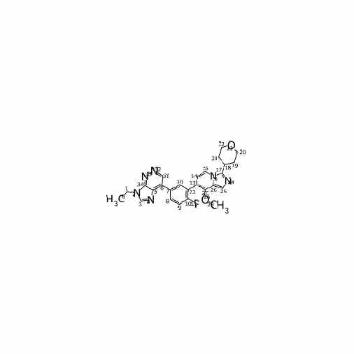 CCn1cnc2c(-c3ccc(F)c(-c4ccn5c(C6CCOCC6)ncc5c4OC)c3)cnnc21